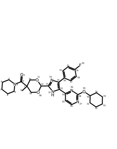 CC1(C(=O)N2CCCCC2)COC(c2nc(-c3ccc(F)cc3)c(-c3ccnc(OC4CCCCC4)n3)[nH]2)OC1